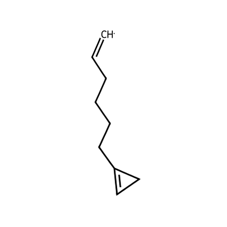 [CH]=CCCCCC1=CC1